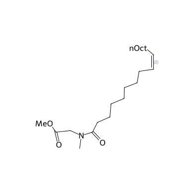 CCCCCCCC/C=C\CCCCCCCC(=O)N(C)CC(=O)OC